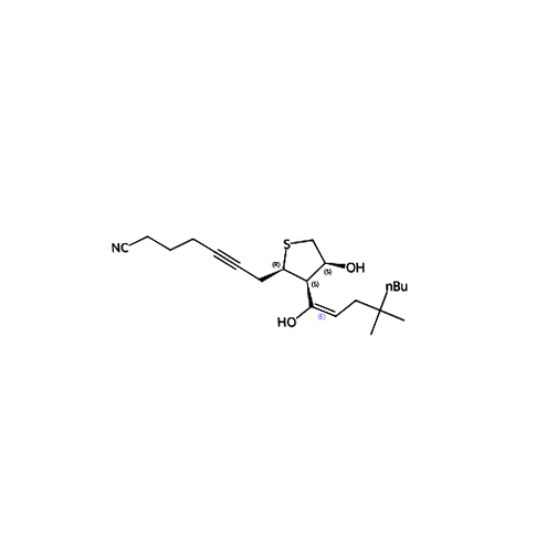 CCCCC(C)(C)C/C=C(/O)[C@@H]1[C@H](O)CS[C@@H]1CC#CCCCC#N